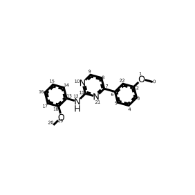 COc1cccc(-c2ccnc(Nc3ccccc3OC)n2)c1